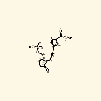 COC(=O)c1ccc(C#CCN2C(=O)CC[C@@H]2CO[Si](C)(C)C(C)(C)C)s1